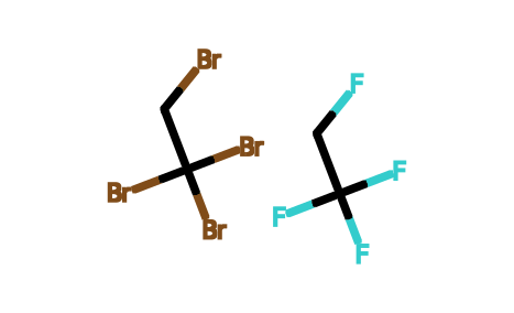 BrCC(Br)(Br)Br.FCC(F)(F)F